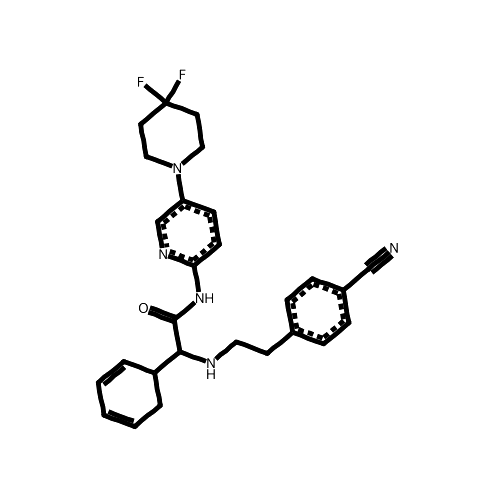 N#Cc1ccc(CCNC(C(=O)Nc2ccc(N3CCC(F)(F)CC3)cn2)C2C=CC=CC2)cc1